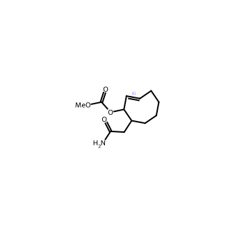 COC(=O)OC1/C=C/CCCCC1CC(N)=O